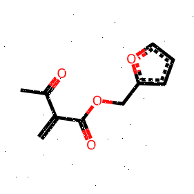 C=C(C(C)=O)C(=O)OCc1ccco1